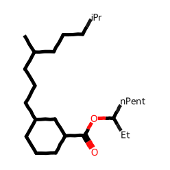 CCCCCC(CC)OC(=O)C1CCCC(CCCC(C)CCCC(C)C)C1